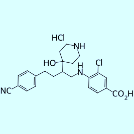 Cl.N#Cc1ccc(CCC(CNc2ccc(C(=O)O)cc2Cl)C2(O)CCNCC2)cc1